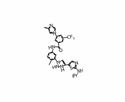 Cc1cn(-c2cc(C(=O)Nc3ccc(C)c(N4C=C(c5cnc(NC(C)C)s5)NN4)c3)cc(C(F)(F)F)c2)cn1